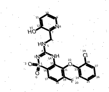 O=S1(=O)N=C(NCc2ncccc2O)Nc2c1ccc(F)c2Oc1ccccc1Cl